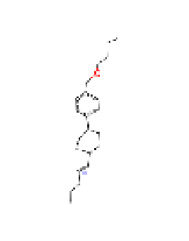 CC=CCOCc1ccc(C2CCC(/C=C/CCC)CC2)cc1